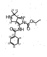 CCOC(=O)n1nc2c(c1NC(=O)c1ccccc1)CNC2(C)C